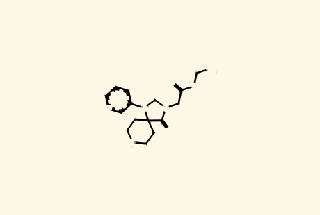 O=C(CN1CN(c2cccnc2)C2(CCNCC2)C1=O)NCC(F)(F)F